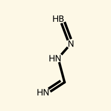 B=NNC=N